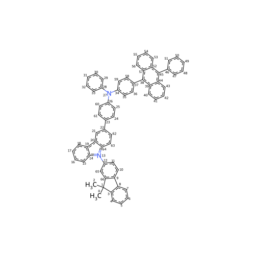 CC1(C)c2ccccc2-c2ccc(-n3c4ccccc4c4cc(-c5ccc(N(c6ccccc6)c6ccc(-c7c8ccccc8c(-c8ccccc8)c8ccccc78)cc6)cc5)ccc43)cc21